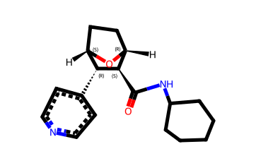 O=C(NC1CCCCC1)[C@H]1[C@H](c2ccncc2)[C@@H]2CC[C@H]1O2